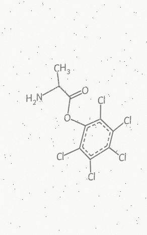 CC(N)C(=O)Oc1c(Cl)c(Cl)c(Cl)c(Cl)c1Cl